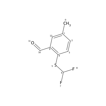 Cc1ccc(SC(F)F)c(C=O)c1